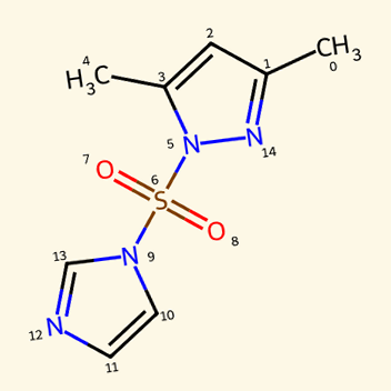 Cc1cc(C)n(S(=O)(=O)n2ccnc2)n1